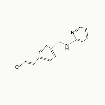 ClC=Cc1ccc(CNc2ccccn2)cc1